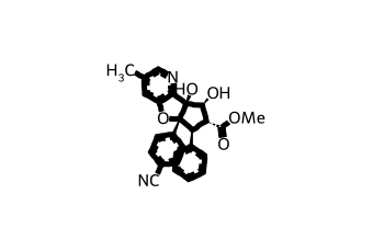 COC(=O)[C@H]1[C@@H](O)[C@@]2(O)c3ncc(C)cc3O[C@@]2(c2ccc(C#N)cc2)[C@@H]1c1ccccc1